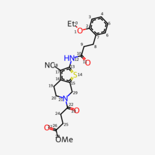 CCOc1ccccc1CCC(=O)Nc1sc2c(c1C#N)CCN(C(=O)CCC(=O)OC)C2